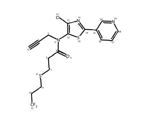 C#CCN(C(=O)CCSCCC(F)(F)F)c1sc(-c2cccnc2)nc1Cl